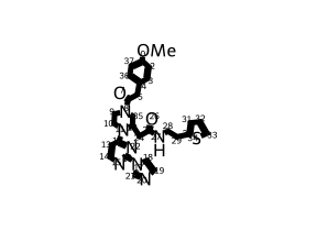 COc1ccc(CC(=O)N2CCN(c3ccnc(-n4ccnc4)n3)C(CC(=O)NCCc3cccs3)C2)cc1